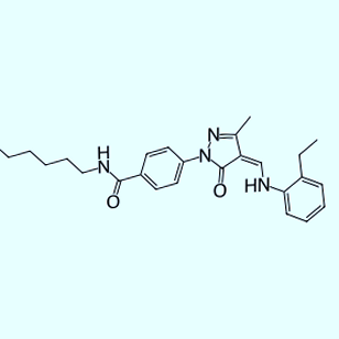 CCCCCCNC(=O)c1ccc(N2N=C(C)C(=CNc3ccccc3CC)C2=O)cc1